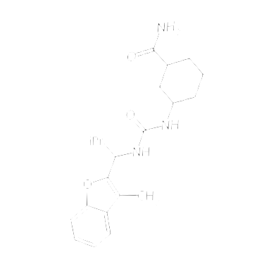 Cc1c(C(NC(=O)NC2CCCC(C(N)=O)C2)C(C)C)oc2ccccc12